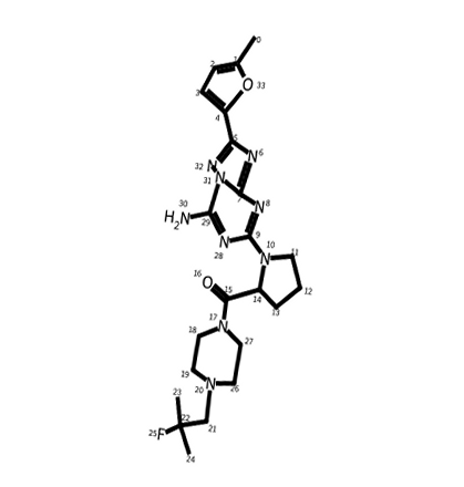 Cc1ccc(-c2nc3nc(N4CCCC4C(=O)N4CCN(CC(C)(C)F)CC4)nc(N)n3n2)o1